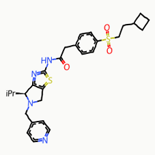 CC(C)[C@H]1c2nc(NC(=O)Cc3ccc(S(=O)(=O)CCC4CCC4)cc3)sc2CN1Cc1ccncc1